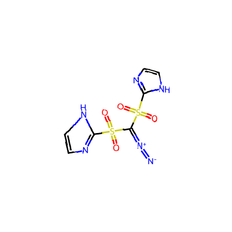 [N-]=[N+]=C(S(=O)(=O)c1ncc[nH]1)S(=O)(=O)c1ncc[nH]1